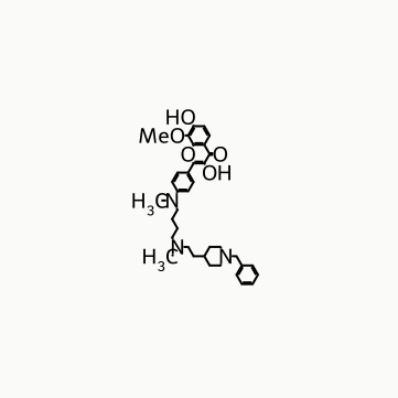 COc1c(O)ccc2c(=O)c(O)c(-c3ccc(N(C)CCCCN(C)CCC4CCN(Cc5ccccc5)CC4)cc3)oc12